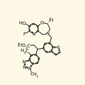 CCOC(=O)CC(c1cc(CN2Cc3nc(F)c(O)cc3O[C@H](CC)C2)c2sccc2c1)c1ccc2c(nnn2C)c1C